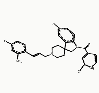 O=C(C1=CC(Cl)NC=C1)N1CC2(CCN(C/C=C/c3ccc(F)cc3C(F)(F)F)CC2)c2cc(Cl)ccc21